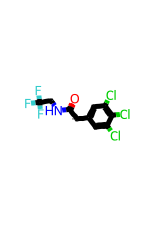 O=C([CH]c1cc(Cl)c(Cl)c(Cl)c1)NCC(F)(F)F